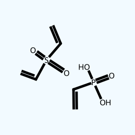 C=CP(=O)(O)O.C=CS(=O)(=O)C=C